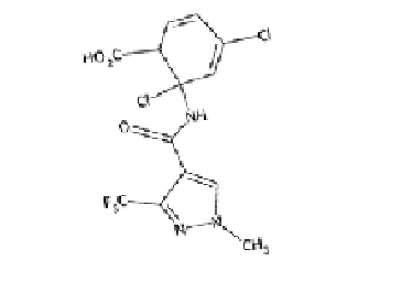 Cn1cc(C(=O)NC2(Cl)C=C(Cl)C=CC2C(=O)O)c(C(F)(F)F)n1